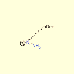 CCCCCCCCCCCCCCCCCCCN(CCN)C12CCC(CC1)CC2